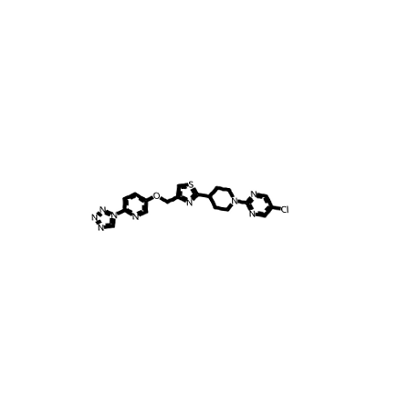 Clc1cnc(N2CCC(c3nc(COc4ccc(-n5cnnn5)nc4)cs3)CC2)nc1